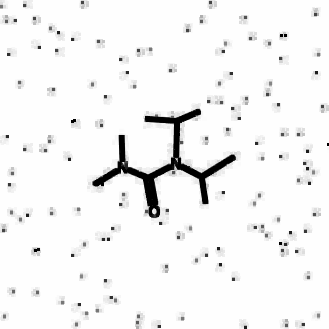 CC(C)N(C(=O)N(C)C)C(C)C